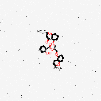 O=C(O)C1=CCc2c(OCC(COc3cccc4oc(C(=O)O)cc(=O)c34)OC(=O)c3ccccc3O)cccc2O1